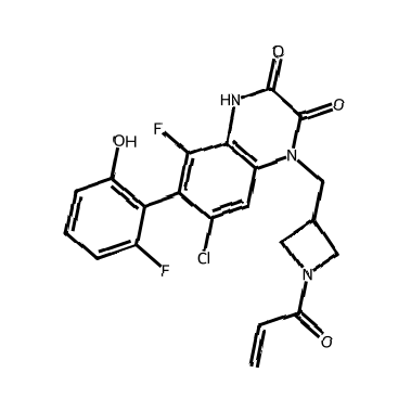 C=CC(=O)N1CC(Cn2c(=O)c(=O)[nH]c3c(F)c(-c4c(O)cccc4F)c(Cl)cc32)C1